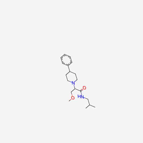 COCC(C(=O)NCC(C)C)N1CCC(c2ccccc2)CC1